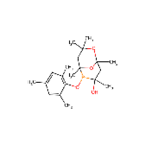 Cc1cc(C)c(OP2C(C)(O)CC3(C)OC(C)(C)CC2(C)O3)c(C)c1